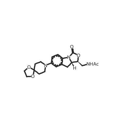 CC(=O)NC[C@@H]1OC(=O)N2c3ccc(N4CCC5(CC4)OCCO5)cc3C[C@@H]12